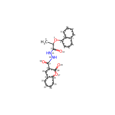 CC(Oc1cccc2ccccc12)C(=O)NNC(=O)c1cc2ccccc2oc1=O